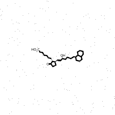 O=C(O)CCCCCC[C@H]1C(=O)CC[C@@H]1/C=C/[C@H](O)CCCCC1CCCC2CCCCC21